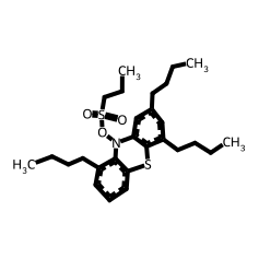 CCCCc1cc(CCCC)c2c(c1)N(OS(=O)(=O)CCC)c1c(CCCC)cccc1S2